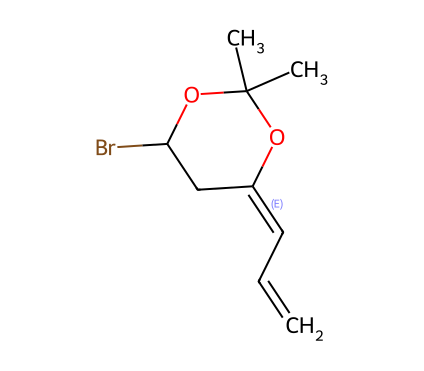 C=C/C=C1\CC(Br)OC(C)(C)O1